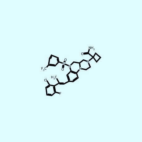 CC(=Cc1ccc2c(c1)N(S(=O)(=O)c1cccc(C(F)(F)F)c1)CC1CN(C3(C(N)=O)CCC3)CCN21)c1c(F)cccc1Cl